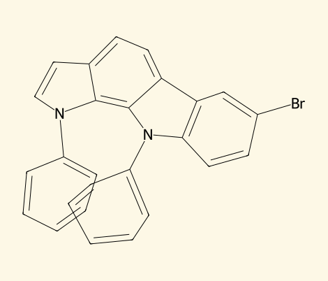 Brc1ccc2c(c1)c1ccc3ccn(-c4ccccc4)c3c1n2-c1ccccc1